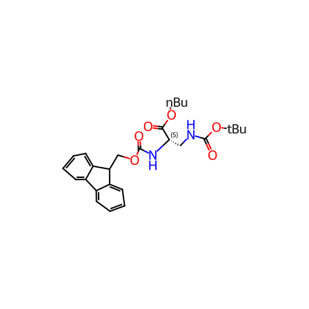 CCCCOC(=O)[C@H](CNC(=O)OC(C)(C)C)NC(=O)OCC1c2ccccc2-c2ccccc21